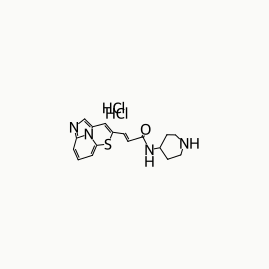 Cl.Cl.O=C(C=CC1=Cc2cnc3cccc(n23)S1)NC1CCNCC1